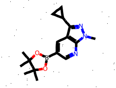 Cn1nc(C2CC2)c2cc(B3OC(C)(C)C(C)(C)O3)cnc21